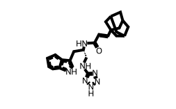 O=C(/C=C/C12CC3CC(CC(C3)C1)C2)N[C@H](CNc1nn[nH]n1)Cc1c[nH]c2ccccc12